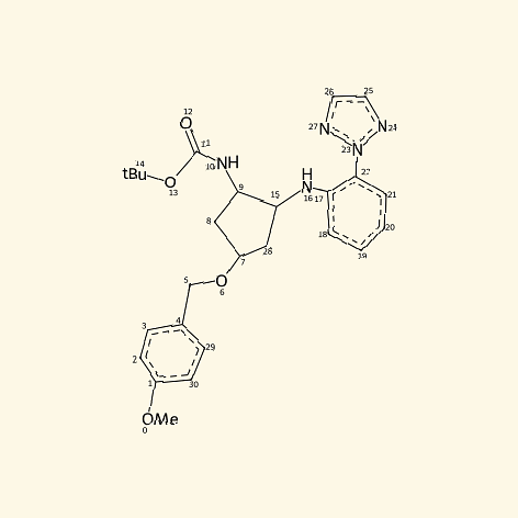 COc1ccc(COC2CC(NC(=O)OC(C)(C)C)C(Nc3ccccc3-n3nccn3)C2)cc1